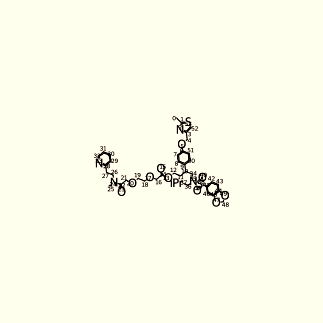 Cc1nc(COc2ccc(C(CCOC(=O)COCCOCC(=O)N(C)CCc3ccccn3)CN(CC(C)C)S(=O)(=O)c3ccc4c(c3)OCO4)cc2)cs1